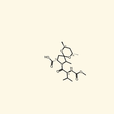 COC(=O)N[C@H](C(=O)N1C(C)C2(C[C@H]1C(=O)O)O[C@@H](C)C[C@H](C)O2)C(C)C